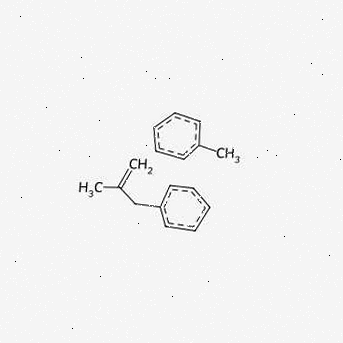 C=C(C)Cc1ccccc1.Cc1ccccc1